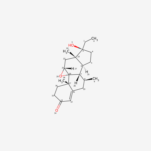 CC[C@]1(O)CC[C@H]2[C@@H]3[C@@H](C)CC4=CC(=O)CC[C@]4(C)C34O[C@@H]4C[C@@]21C